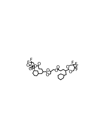 O=C(CCC(CC1CCCCC1)C1OCC(F)(F)C(F)(F)CO1)OCC1COC(C(CCC(=O)OCC(F)(F)S(=O)(=O)O)CC2CCCCC2)O1